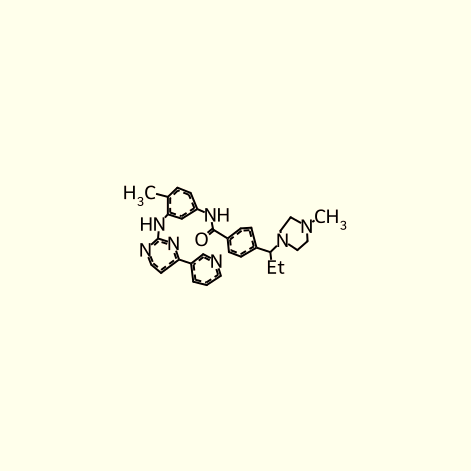 CCC(c1ccc(C(=O)Nc2ccc(C)c(Nc3nccc(-c4cccnc4)n3)c2)cc1)N1CCN(C)CC1